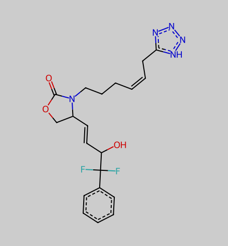 O=C1OCC(/C=C/C(O)C(F)(F)c2ccccc2)N1CCC/C=C\Cc1nnn[nH]1